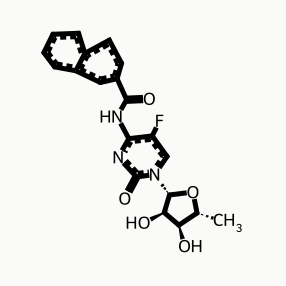 C[C@H]1O[C@@H](n2cc(F)c(NC(=O)c3ccc4ccccc4c3)nc2=O)[C@H](O)[C@@H]1O